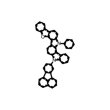 c1ccc(-n2c3ccc4c5ccccc5oc4c3c3ccc4c(c5ccccc5n4-c4ccc5c(c4)-c4cccc6cccc-5c46)c32)cc1